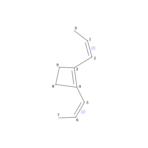 C/C=C\C1=C(/C=C\C)CC1